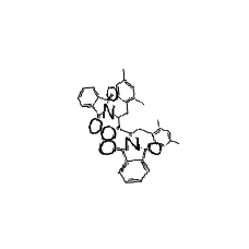 Cc1ccc(CC(C(=O)C(Cc2ccc(C)cc2C)N2C(=O)c3ccccc3C2=O)N2C(=O)c3ccccc3C2=O)c(C)c1